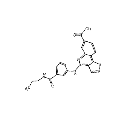 CCCNC(=O)c1cccc(Nc2nc3cc(C(=O)O)ccc3c3sccc23)c1